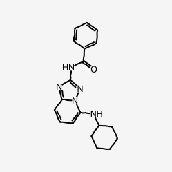 O=C(Nc1nc2cccc(NC3CCCCC3)n2n1)c1ccccc1